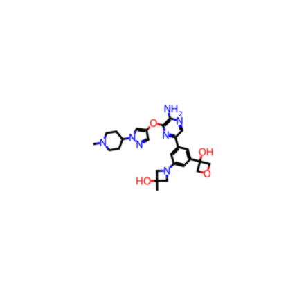 CN1CCC(n2cc(Oc3nc(-c4cc(N5CC(C)(O)C5)cc(C5(O)COC5)c4)cnc3N)cn2)CC1